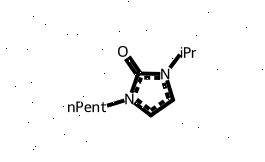 CCCCCn1ccn(C(C)C)c1=O